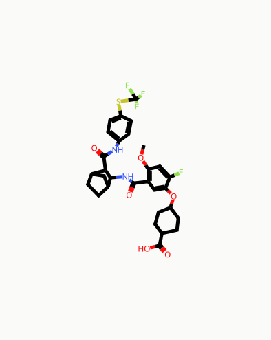 COc1cc(F)c(OC2CCC(C(=O)O)CC2)cc1C(=O)NC1C2CCC(C2)C1C(=O)Nc1ccc(SC(F)(F)F)cc1